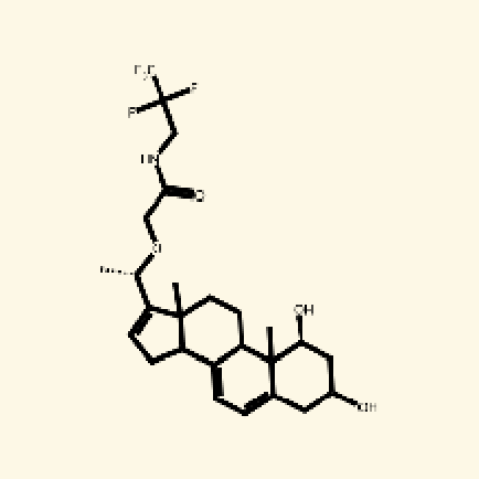 C[C@H](OCC(=O)NCC(F)(F)C(F)(F)F)C1=CCC2C3=CC=C4CC(O)C[C@H](O)C4(C)C3CCC12C